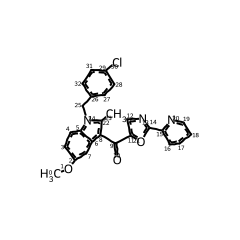 COc1ccc2c(c1)c(C(=O)c1cnc(-c3ccccn3)o1)c(C)n2Cc1ccc(Cl)cc1